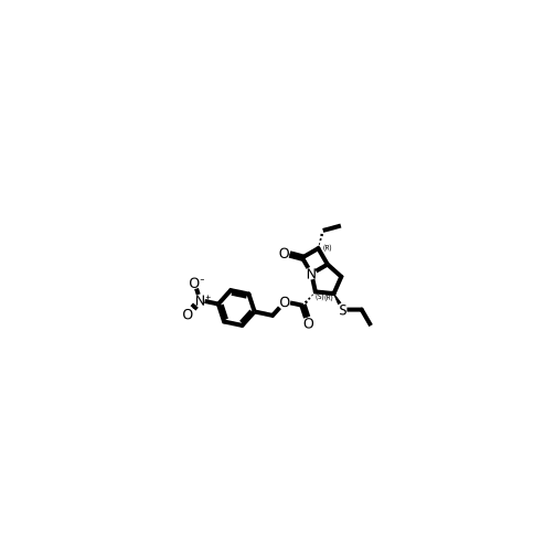 CCS[C@@H]1CC2[C@@H](CC)C(=O)N2[C@H]1C(=O)OCc1ccc([N+](=O)[O-])cc1